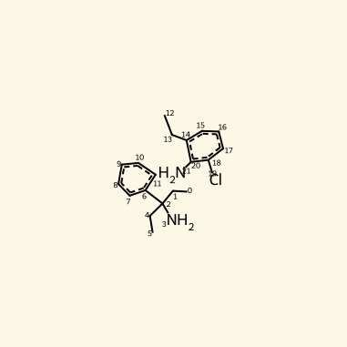 CCC(N)(CC)c1ccccc1.CCc1cccc(Cl)c1N